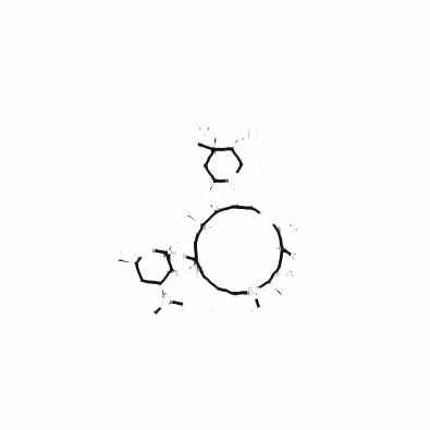 CC[C@H]1OC[C@@H](C)[C@H](O[C@H]2C[C@@](C)(OC)[C@@H](O)[C@H](C)O2)[C@H](C)[C@@H](O[C@@H]2O[C@H](C)C[C@H](N(C)C)[C@H]2O)[C@](C)(O)C[C@@H](C)CN(C)[C@H](C)[C@@H](O)[C@]1(C)O